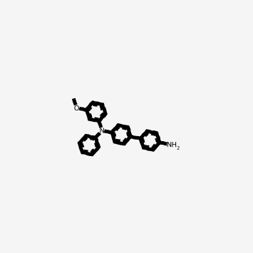 COc1cccc(N(c2ccccc2)c2ccc(-c3ccc(N)cc3)cc2)c1